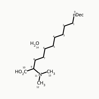 CCCCCCCCCCCCCCCCCCC(C(=O)O)N(C)C.O